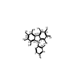 Cc1ccc(-n2c3c(C)c(C)c(C)c(C)c3c3c(C)c(C)c(C)c(C)c32)c(C)c1